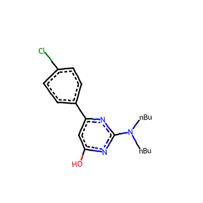 CCCCN(CCCC)c1nc(O)cc(-c2ccc(Cl)cc2)n1